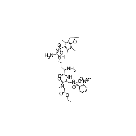 CCOC(=O)CN(C)C(=O)C(CN(C)S(=O)(=O)c1ccccc1[N+](=O)[O-])NC(=O)C(N)CCCNC(N)=NS(=O)(=O)c1c(C)c(C)c2c(c1C)CC(C)(C)O2